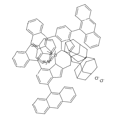 [CH3][Zr]([CH3])(=[SiH2])([CH]1C(CC23CC4CC(CC(C4)C2)C3)=Cc2c(-c3c4ccccc4cc4ccccc34)ccc(-c3c4ccccc4cc4ccccc34)c21)[CH]1C(CC23CC4CC(CC(C4)C2)C3)=Cc2c(-c3c4ccccc4cc4ccccc34)ccc(-c3c4ccccc4cc4ccccc34)c21.[Cl-].[Cl-]